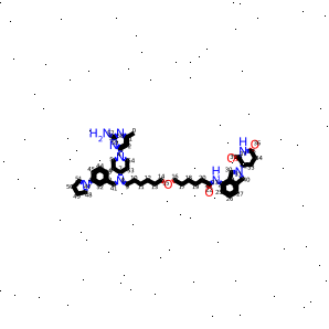 Cc1cc(N2CCC(N(CCCCCCOCCCCCC(=O)Nc3cccc4c3CN(C3CCC(=O)NC3=O)C4)Cc3cccc(N4CCCC4)c3)CC2)nc(N)n1